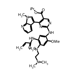 C=CC(=O)Nc1cc(Nc2ncc(C(=O)OC(C)C)c(-c3cn(C)c4ncccc34)n2)c(OC)cc1N(C)CCN(C)C